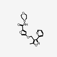 Cc1onc(-c2ccccn2)c1COc1coc(C(=O)NN2CCOCC2)c1